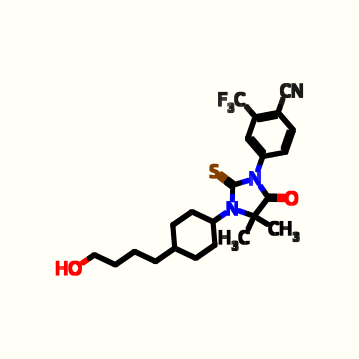 CC1(C)C(=O)N(c2ccc(C#N)c(C(F)(F)F)c2)C(=S)N1C1CCC(CCCCO)CC1